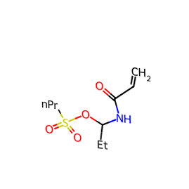 C=CC(=O)NC(CC)OS(=O)(=O)CCC